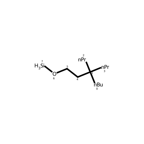 CCCCC(CCC)(CCC)CCO[SiH3]